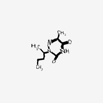 CCCC(C)n1nc(C)c(=O)[nH]c1=O